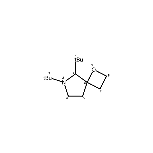 CC(C)(C)C1N(C(C)(C)C)CCC12CCO2